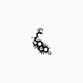 C=C(CC[C@@H](C)[C@H]1CC[C@H]2C3=CC[C@H]4CC(=O)CC[C@]4(C)[C@H]3CC[C@]12C)C(C)C